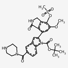 COc1cc(-c2cc3cc(C(=O)N4CCNCC4)ccc3n2C(=O)OC(C)(C)C)c2c(c1OS(C)(=O)=O)CNC2=O